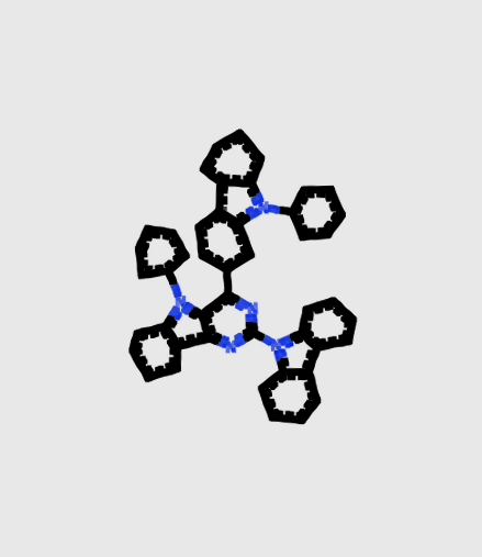 c1ccc(-n2c3ccccc3c3ccc(-c4nc(-n5c6ccccc6c6ccccc65)nc5c6ccccc6n(-c6ccccc6)c45)cc32)cc1